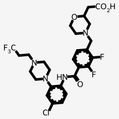 O=C(O)CC1CN(Cc2ccc(C(=O)Nc3ccc(Cl)cc3N3CCN(CCC(F)(F)F)CC3)c(F)c2F)CCO1